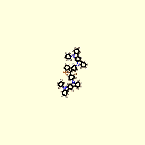 SC1(c2ccccc2)c2ccc(-n3c4ccccc4c4cc5c6ccccc6n(-c6ccccc6)c5cc43)cc2Sc2cc(-n3c4ccccc4c4cc5c6ccccc6n(-c6ccccc6)c5cc43)ccc21